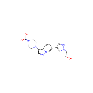 O=C(O)N1CCN(c2cnn3cc(-c4cnn(CCO)c4)ccc23)CC1